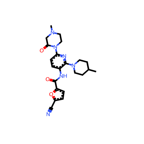 CC1CCN(c2nc(N3CCN(C)CC3=O)ccc2NC(=O)c2ccc(C#N)o2)CC1